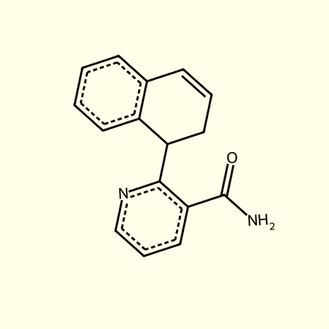 NC(=O)c1cccnc1C1CC=Cc2ccccc21